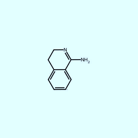 NC1=NCCc2cc[c]cc21